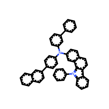 c1ccc(-c2cccc(N(c3ccc(-c4ccc5ccccc5c4)cc3)c3ccc4ccc5c6ccccc6n(-c6ccccc6)c5c4c3)c2)cc1